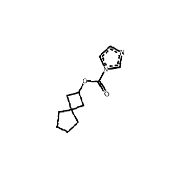 O=C(OC1CC2(CCCC2)C1)n1ccnc1